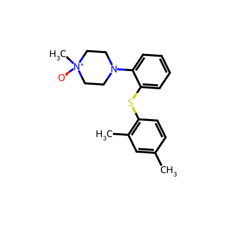 Cc1ccc(Sc2ccccc2N2CC[N+](C)([O-])CC2)c(C)c1